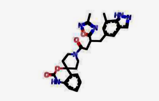 Cc1noc(C(CC(=O)N2CCC3(CC2)OC(=O)Nc2ccccc23)Cc2cc(C)c3[nH]ncc3c2)n1